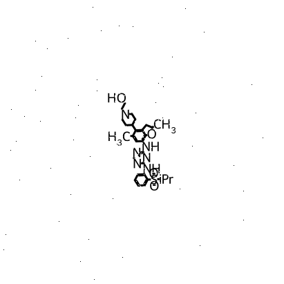 Cc1cc(Nc2ncnc(Nc3ccccc3S(=O)(=O)C(C)C)n2)c2c(c1C1CCN(CCO)CC1)CC(C)O2